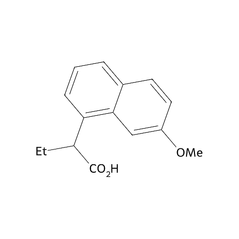 CCC(C(=O)O)c1cccc2ccc(OC)cc12